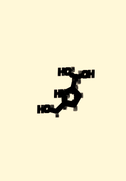 OCc1ccc(B(O)O)[nH]1